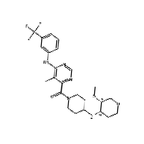 CO[C@@H]1COCC[C@@H]1NC1CCN(C(=O)c2ncnc(Nc3cccc(C(F)(F)F)c3)c2C)CC1